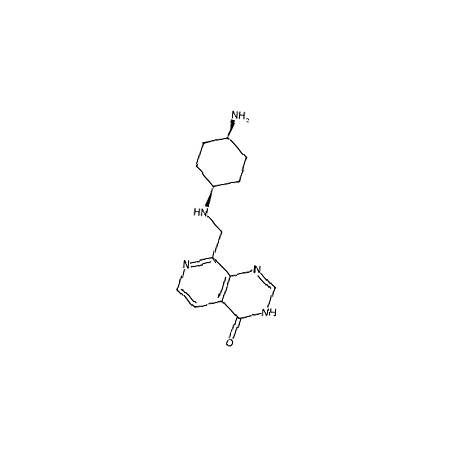 N[C@H]1CC[C@@H](NCc2nccc3c(=O)[nH]cnc23)CC1